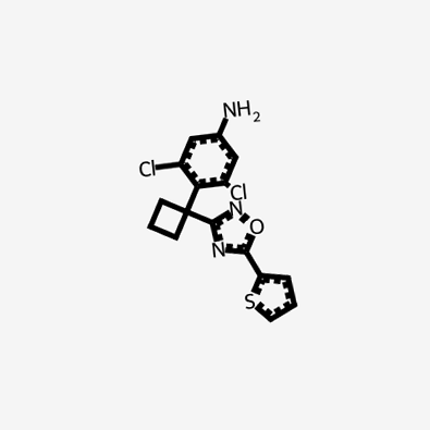 Nc1cc(Cl)c(C2(c3noc(-c4cccs4)n3)CCC2)c(Cl)c1